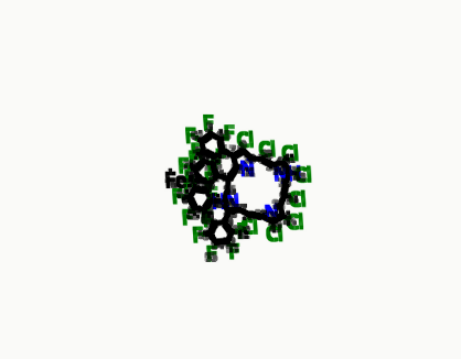 Fc1c(F)c(F)c(C2=C(Cl)c3nc2c(-c2c(F)c(F)c(F)c(F)c2F)c2[nH]c(c(Cl)c4nc(c(Cl)c5[nH]c(c3Cl)c(Cl)c5Cl)C(Cl)=C4Cl)c(-c3c(F)c(F)c(F)c(F)c3F)c2-c2c(F)c(F)c(F)c(F)c2F)c(F)c1F.[Fe+3]